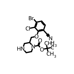 CC(C)(C)OC(=O)N1CCNCC1COc1c(C#N)ccc(Br)c1Cl